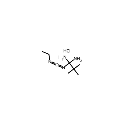 CCN=C=NC(N)(N)C(C)(C)C.Cl